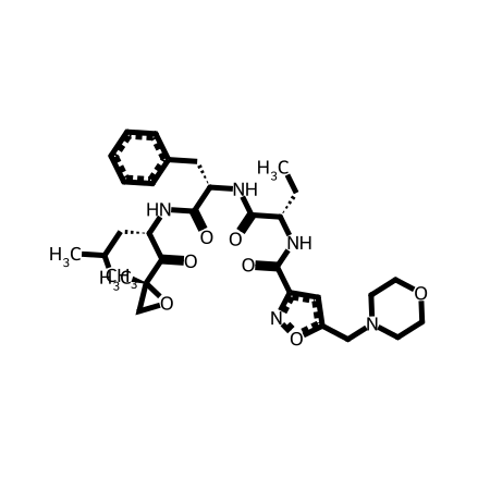 CC[C@H](NC(=O)c1cc(CN2CCOCC2)on1)C(=O)N[C@@H](Cc1ccccc1)C(=O)N[C@@H](CC(C)C)C(=O)[C@@]1(C)CO1